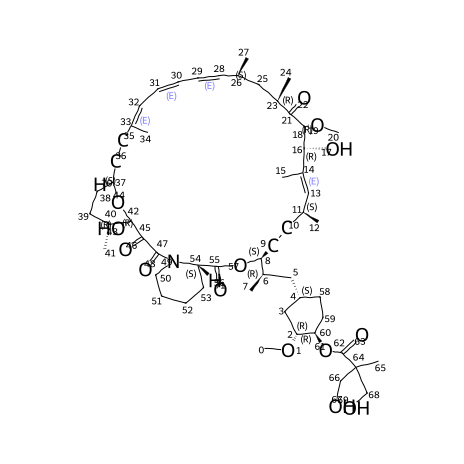 CO[C@@H]1C[C@H](C[C@@H](C)[C@@H]2CC[C@H](C)/C=C(\C)[C@@H](O)[C@@H](OC)C(=O)[C@H](C)C[C@H](C)/C=C/C=C/C=C(\C)CC[C@@H]3CC[C@@H](C)[C@@](O)(O3)C(=O)C(=O)N3CCCC[C@H]3C(=O)O2)CC[C@H]1OC(=O)C(C)(CO)CO